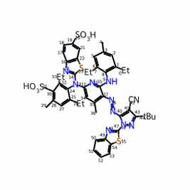 CCc1cc(C)cc(CC)c1Nc1nc(N(c2nc3ccc(S(=O)(=O)O)cc3s2)c2c(CC)cc(C)c(S(=O)(=O)O)c2CC)cc(C)c1N=Nc1c(C#N)c(C(C)(C)C)nn1-c1nc2ccccc2s1